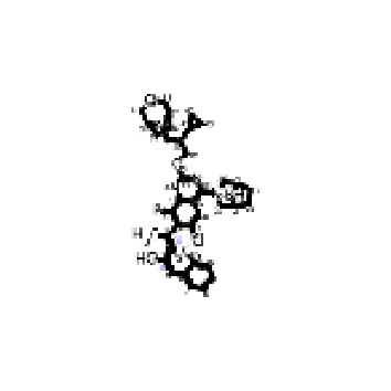 C/C(=C\C(O)=C/c1ccccc1C)c1c(Cl)cc2c(N3CC4CCC(C3)N4)nc(OCC(CN3C4CCC3COC4)C3CC3)nc2c1F